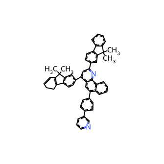 CC1(C)C2=C(CCC=C2)c2ccc(-c3cc(-c4ccc5c(c4)C(C)(C)c4ccccc4-5)nc4c3cc(-c3ccc(-c5cccnc5)cc3)c3ccccc34)cc21